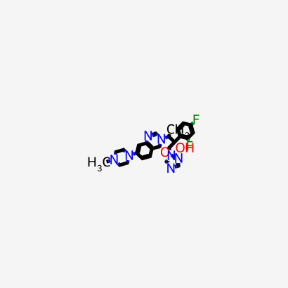 CC(n1cnc2cc(N3CCN(C)CC3)ccc2c1=O)C(O)(Cn1cncn1)c1ccc(F)cc1F